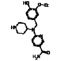 CCOc1cc(CN(c2ccc(C(N)=O)cn2)C2CCNCC2)ccc1O